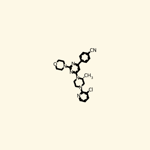 C[C@@H]1CN(c2ncccc2Cl)CCN1c1cc(-c2ccc(C#N)cc2)nc(N2CCOCC2)n1